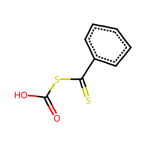 O=C(O)SC(=S)c1ccccc1